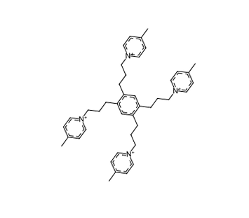 Cc1cc[n+](CCCc2cc(CCC[n+]3ccc(C)cc3)c(CCC[n+]3ccc(C)cc3)cc2CCC[n+]2ccc(C)cc2)cc1